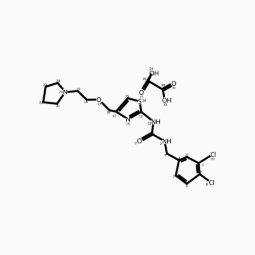 O=C(NCc1ccc(Cl)c(Cl)c1)Nc1nc(COCCN2CCCC2)cs1.O=C(O)C(=O)O